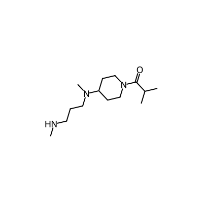 CNCCCN(C)C1CCN(C(=O)C(C)C)CC1